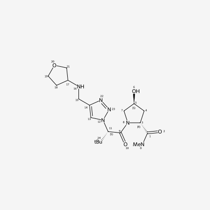 CNC(=O)[C@H]1C[C@H](O)CN1C(=O)[C@@H](n1cc(CNC2CCOC2)nn1)C(C)(C)C